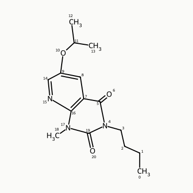 CCCCn1c(=O)c2cc(OC(C)C)cnc2n(C)c1=O